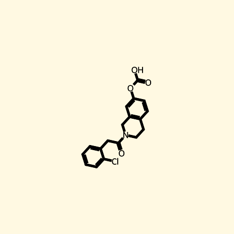 O=C(O)Oc1ccc2c(c1)CN(C(=O)Cc1ccccc1Cl)CC2